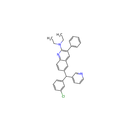 CCN(CC)c1nc2ccc(C(c3cccnc3)c3cccc(Cl)c3)cc2cc1-c1ccccc1